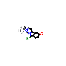 C[N+]1(C)C=CC2C3=CC(=O)C=CC3=C(Br)N2C1